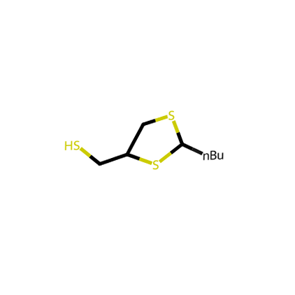 CCCCC1SCC(CS)S1